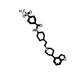 CS(=O)(=O)c1ccc(C(=O)NC2CCC(CCN3CCC(c4cccc5c4CCO5)CC3)CC2)cc1